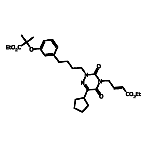 CCOC(=O)/C=C/Cn1c(=O)c(C2CCCC2)nn(CCCCc2cccc(OC(C)(C)C(=O)OCC)c2)c1=O